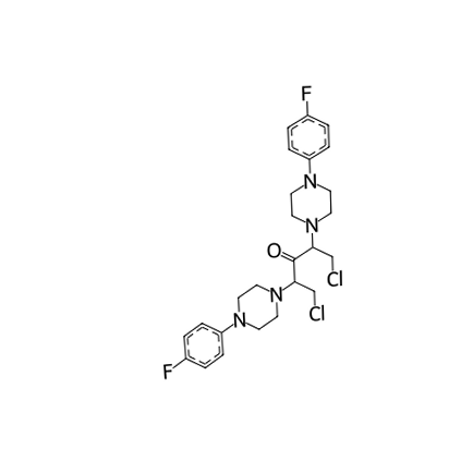 O=C(C(CCl)N1CCN(c2ccc(F)cc2)CC1)C(CCl)N1CCN(c2ccc(F)cc2)CC1